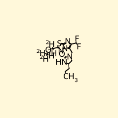 [2H]C([2H])([2H])OC([2H])([2H])c1nn2c(CN3C[C@@H](CCC)NC3=O)c(C(F)F)nc2s1